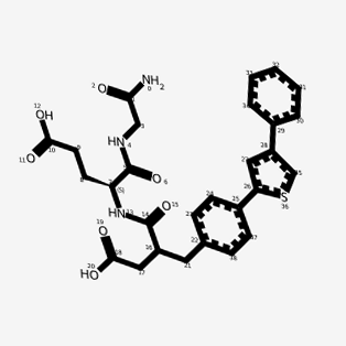 NC(=O)CNC(=O)[C@H](CCC(=O)O)NC(=O)C(CC(=O)O)Cc1ccc(-c2cc(-c3ccccc3)cs2)cc1